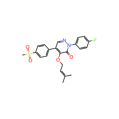 CC(C)=CCOc1c(-c2ccc(S(C)(=O)=O)cc2)cnn(-c2ccc(F)cc2)c1=O